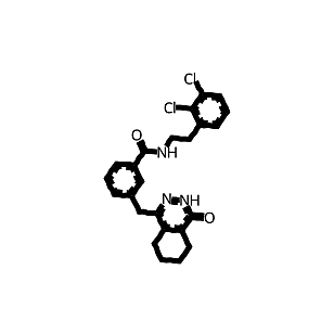 O=C(NCCc1cccc(Cl)c1Cl)c1cccc(Cc2n[nH]c(=O)c3c2CCCC3)c1